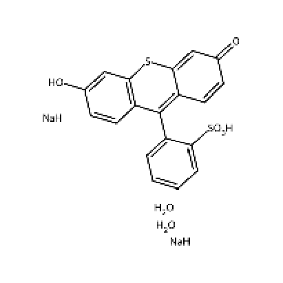 O.O.O=c1ccc2c(-c3ccccc3S(=O)(=O)O)c3ccc(O)cc3sc-2c1.[NaH].[NaH]